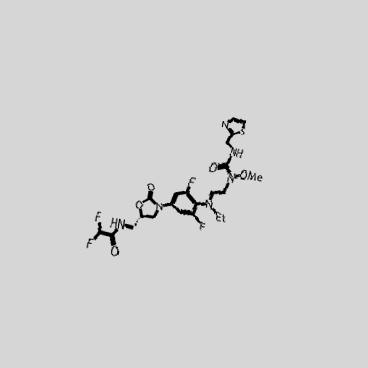 CCN(CCN(OC)C(=O)NCc1nccs1)c1c(F)cc(N2C[C@H](CNC(=O)C(F)F)OC2=O)cc1F